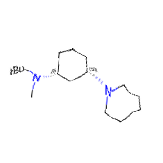 CN([C@@H]1CCC[C@H](N2CCCCC2)C1)C(C)(C)C